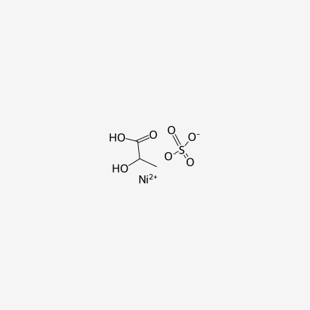 CC(O)C(=O)O.O=S(=O)([O-])[O-].[Ni+2]